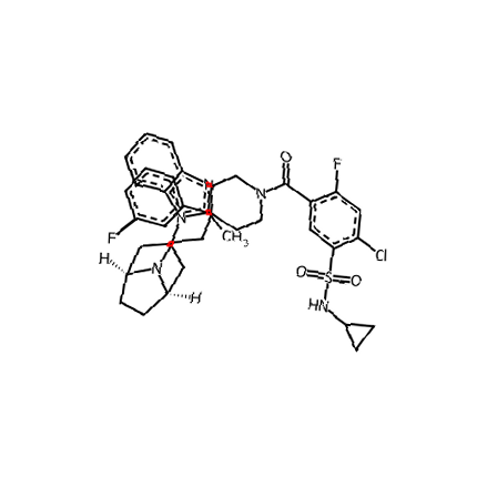 Cc1nc2ccccc2n1C1C[C@H]2CC[C@@H](C1)N2CCC1(c2cccc(F)c2)CCN(C(=O)c2cc(S(=O)(=O)NC3CC3)c(Cl)cc2F)CC1